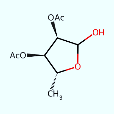 CC(=O)O[C@@H]1[C@@H](C)OC(O)[C@@H]1OC(C)=O